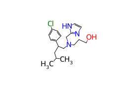 CC(C)CC(CN(CCCO)Cc1ncc[nH]1)c1ccc(Cl)cc1